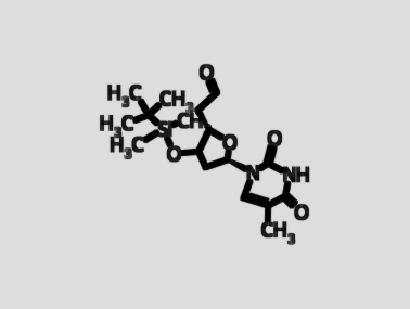 Cc1cn([C@H]2CC(O[Si](C)(C)C(C)(C)C)[C@@H](CC=O)O2)c(=O)[nH]c1=O